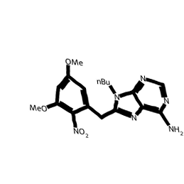 CCCCn1c(Cc2cc(OC)cc(OC)c2[N+](=O)[O-])nc2c(N)ncnc21